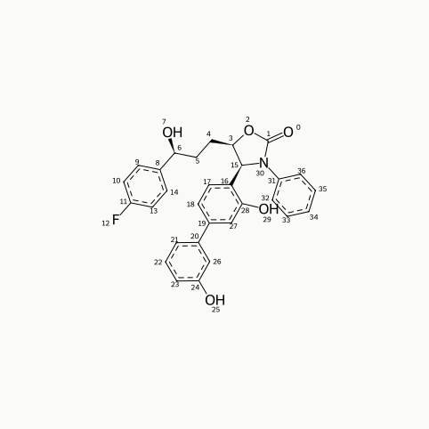 O=C1O[C@H](CC[C@H](O)c2ccc(F)cc2)[C@H](c2ccc(-c3cccc(O)c3)cc2O)N1c1ccccc1